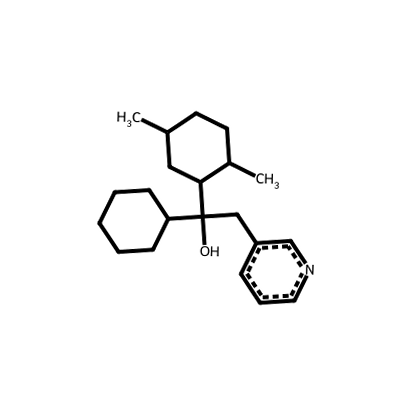 CC1CCC(C)C(C(O)(Cc2cccnc2)C2CCCCC2)C1